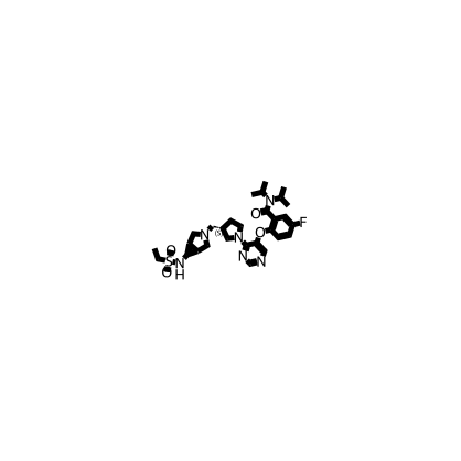 CCS(=O)(=O)NC1=C2CN(C[C@@H]3CCN(c4ncncc4Oc4ccc(F)cc4C(=O)N(C(C)C)C(C)C)C3)CC21